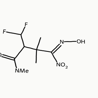 CNC(=O)C(C(F)F)C(C)(C)C(=NO)[N+](=O)[O-]